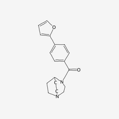 O=C(c1ccc(-c2ccco2)cc1)N1CCN2CCC1CC2